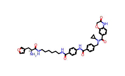 N[C@@H](Cc1ccoc1)C(=O)NCCCCCCNC(=O)c1ccc(NC(=O)c2ccc(CN(C(=O)c3ccc4c(c3)OCC(=O)N4)C3CC3)cc2)cc1